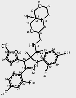 CC1(C(=O)NCC2CN3CCOC[C@H]3CO2)C(c2ccc(Cl)o2)C(c2ccc(F)cc2F)=NN1c1ccc(F)cc1F